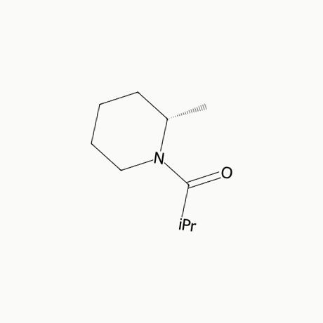 CC(C)C(=O)N1CCCC[C@@H]1C